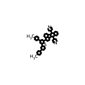 Cc1ccc(-c2ccc3sc4c(-c5ccc6c7c(cccc57)-c5c-6c(-c6ccncc6)c6ccccc6c5-c5ccncc5)cc(-c5ccc(C)cc5)cc4c3c2)cc1